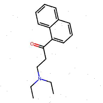 CCN(CC)CCC(=O)c1cccc2ccccc12